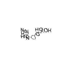 CNCCN(C)Cc1c[nH]nc1C1CCCC(COCCC(O)CO)C1